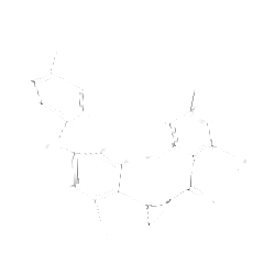 O=C(c1c(O)cc(O)cc1O)C1CC1c1ccc(Oc2ccc(Cl)cc2)cc1C(F)(F)F